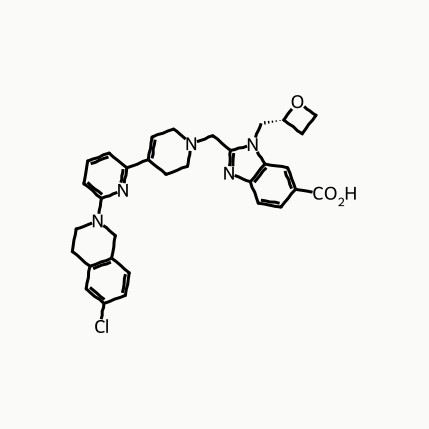 O=C(O)c1ccc2nc(CN3CC=C(c4cccc(N5CCc6cc(Cl)ccc6C5)n4)CC3)n(C[C@H]3CCO3)c2c1